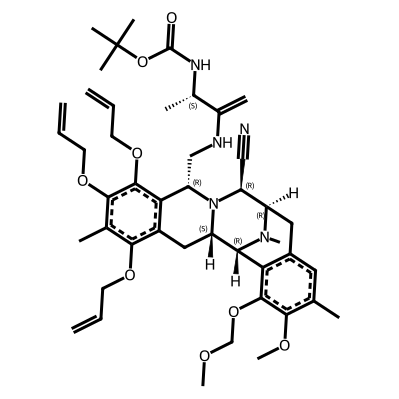 C=CCOc1c(C)c(OCC=C)c(OCC=C)c2c1C[C@H]1[C@H]3c4c(cc(C)c(OC)c4OCOC)C[C@H]([C@H](C#N)N1[C@H]2CNC(=C)[C@H](C)NC(=O)OC(C)(C)C)N3C